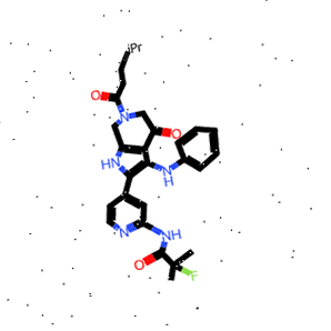 CC(C)CCC(=O)N1CC(=O)c2c([nH]c(-c3ccnc(NC(=O)C(C)(C)F)c3)c2Nc2ccccc2)C1